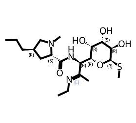 CCC[C@@H]1C[C@@H](C(=O)N[C@H](/C(C)=N/CC)[C@H]2O[C@H](SC)[C@H](O)[C@@H](O)[C@H]2O)N(C)C1